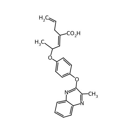 C=CC/C(=C\C(C)Oc1ccc(Oc2nc3ccccc3nc2C)cc1)C(=O)O